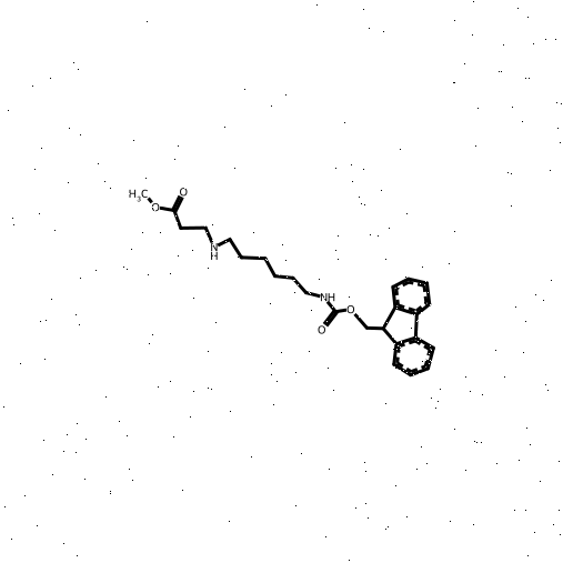 COC(=O)CCNCCCCCCNC(=O)OCC1c2ccccc2-c2ccccc21